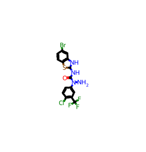 NN(C(=O)NC1Nc2cc(Br)ccc2S1)c1ccc(Cl)c(C(F)(F)F)c1